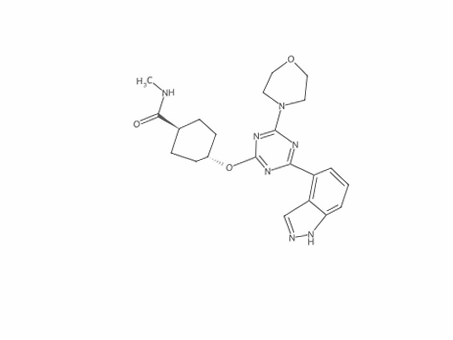 CNC(=O)[C@H]1CC[C@H](Oc2nc(-c3cccc4[nH]ncc34)nc(N3CCOCC3)n2)CC1